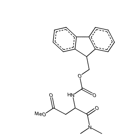 COC(=O)CC(NC(=O)OCC1c2ccccc2-c2ccccc21)C(=O)N(C)C